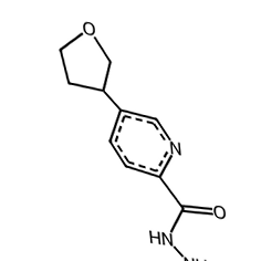 NNC(=O)c1ccc(C2CCOC2)cn1